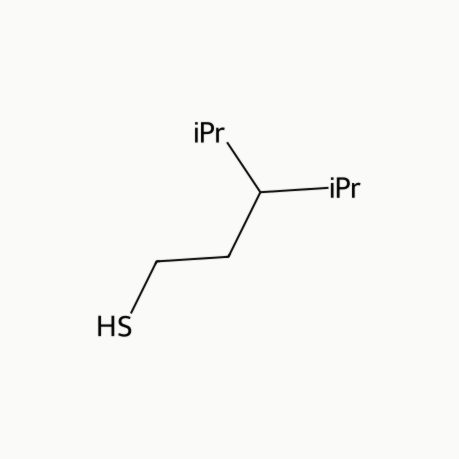 CC(C)C(CCS)C(C)C